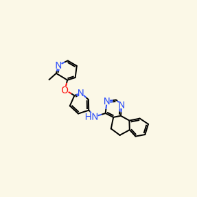 Cc1ncccc1Oc1ccc(Nc2ncnc3c2CCc2ccccc2-3)cn1